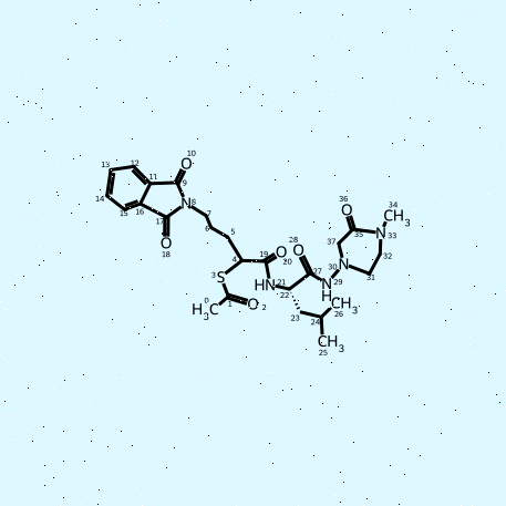 CC(=O)SC(CCCN1C(=O)c2ccccc2C1=O)C(=O)N[C@@H](CC(C)C)C(=O)NN1CCN(C)C(=O)C1